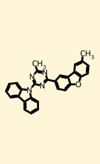 Cc1ccc2oc3ccc(-c4nc(C)nc(-n5c6ccccc6c6ccccc65)n4)cc3c2c1